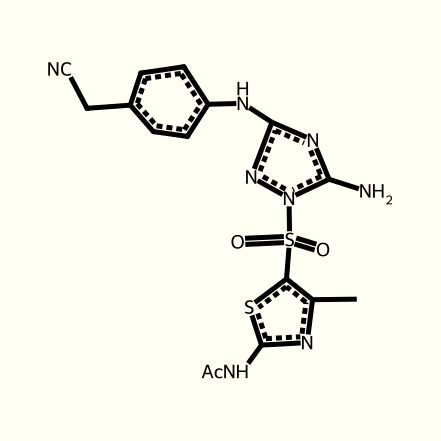 CC(=O)Nc1nc(C)c(S(=O)(=O)n2nc(Nc3ccc(CC#N)cc3)nc2N)s1